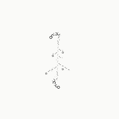 CCC1(OC(=O)CNC(=O)CCC(=O)NCCN(CCNCCNCCNC2CCC2)CCN(CCNCCN(CCN)CCN(CCNC2CCC2)CCN(CCNC(=O)CCC(=O)NCC(=O)OC2(CC)C(=O)OCc3c2cc2n(c3=O)Cc3cc4ccccc4nc3-2)CCNC2CCC2)CCNCCN(CCNCCN)C2CCC2)C(=O)OCc2c1cc1n(c2=O)Cc2cc3ccccc3nc2-1